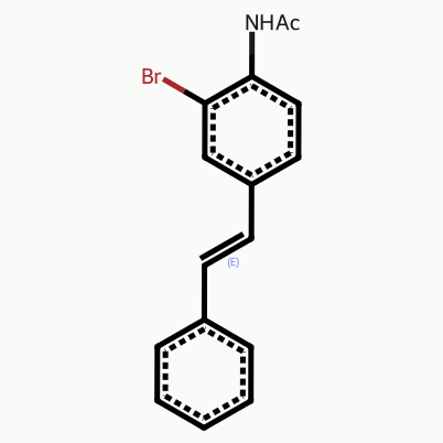 CC(=O)Nc1ccc(/C=C/c2ccccc2)cc1Br